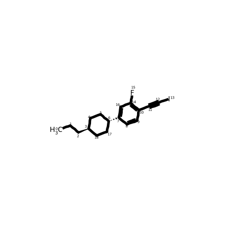 CCC[C@H]1CC[C@H](c2ccc(C#CI)c(F)c2)CC1